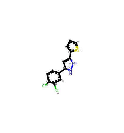 Clc1ccc(C2C=C(c3cccs3)NN2)cc1Cl